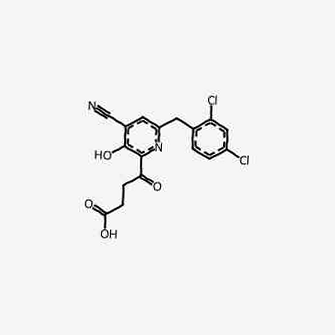 N#Cc1cc(Cc2ccc(Cl)cc2Cl)nc(C(=O)CCC(=O)O)c1O